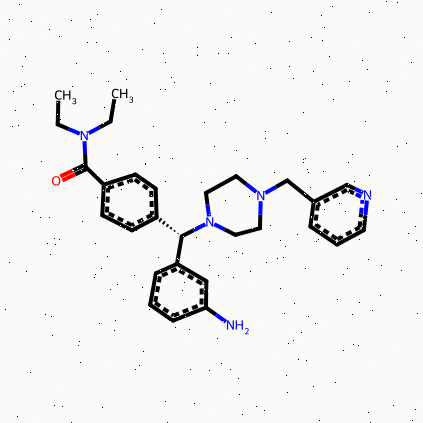 CCN(CC)C(=O)c1ccc([C@@H](c2cccc(N)c2)N2CCN(Cc3cccnc3)CC2)cc1